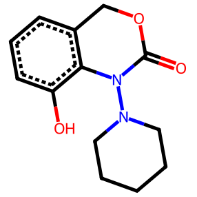 O=C1OCc2cccc(O)c2N1N1CCCCC1